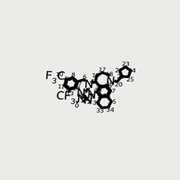 Cn1nnc(N(Cc2cc(C(F)(F)F)cc(C(F)(F)F)c2)C2CCCN(CC3CCCC3)c3cc4c(cc32)CCCC4)n1